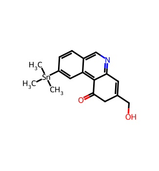 [CH3][Sn]([CH3])([CH3])[c]1ccc2cnc3c(c2c1)C(=O)CC(CO)=C3